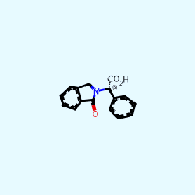 O=C(O)[C@H](c1ccccc1)N1Cc2ccccc2C1=O